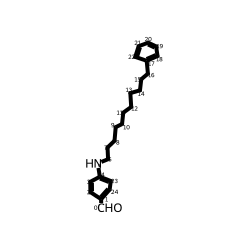 O=Cc1ccc(NCCCCCCCCCCCc2ccccc2)cc1